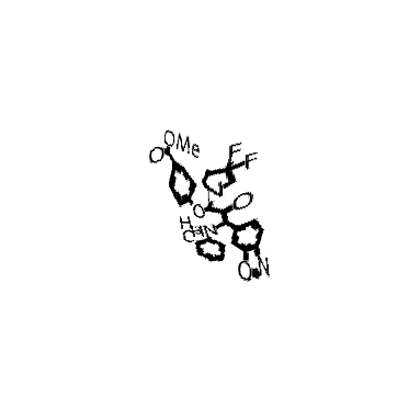 COC(=O)c1ccc(OC(C(=O)C(Nc2ccccc2C)c2ccc3ncoc3c2)N2CCC(F)(F)C2)cc1